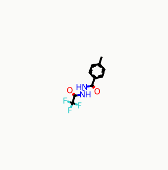 Cc1ccc(C(=O)NNC(=O)C(F)(F)F)cc1